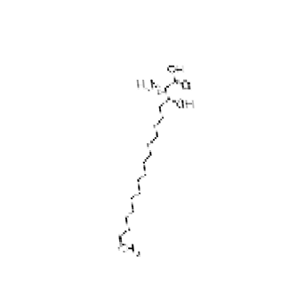 CCCCCCCCCCCCCCCCC(O)[C@H](N)C(=O)O